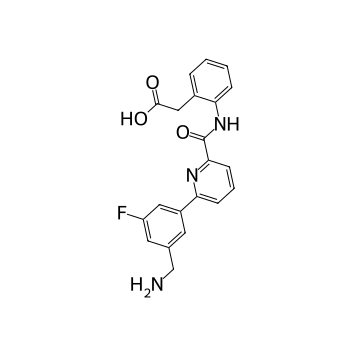 NCc1cc(F)cc(-c2cccc(C(=O)Nc3ccccc3CC(=O)O)n2)c1